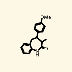 COc1ccc(C2Cc3ccccc3NC(=O)C2C)cc1